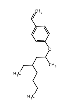 C=Cc1ccc(OC(C)CC(CC)CCCC)cc1